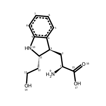 N[C@@H](C[C@@H]1c2ccccc2N[C@H]1CCO)C(=O)O